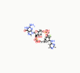 Nc1nc2c(ncn2[C@@H]2O[C@H]3COP(=O)(O)O[C@@H]4[C@@H](CCOP(=O)(O)O[C@@H]2[C@@H]3O)C[C@@H](Nc2ccncn2)[C@@H]4F)c(=O)[nH]1